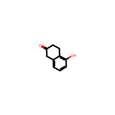 O=C1CCc2c(O)cccc2C1